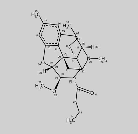 CCCC(=O)[C@H]1C[C@]2(CCC)[C@H]3Cc4cc(C)cc5c4[C@@]2(CCN3C)[C@@H](O5)[C@@H]1OC